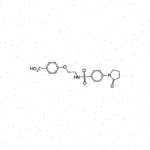 O=C(O)c1ccc(OCCNS(=O)(=O)c2ccc(N3CCCC3=O)cc2)cc1